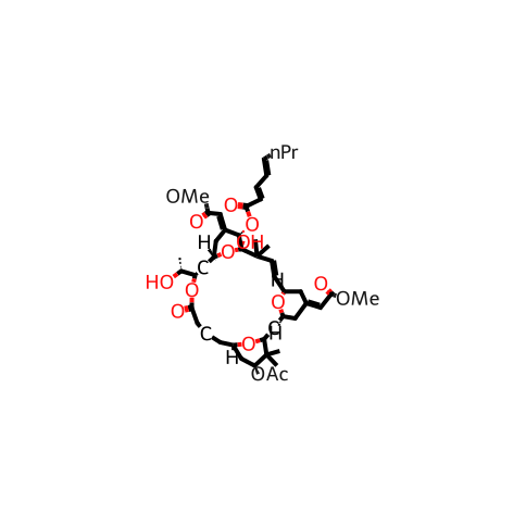 CCC/C=C/C=C/C(=O)O[C@H]1/C(=C/C(=O)OC)C[C@H]2C[C@H]([C@@H](C)O)OC(=O)CCC[C@@H]3C[C@H](OC(C)=O)C(C)(C)C(C[C@@H]4C/C(=C/C(=O)OC)C[C@H](/C=C/C(C)(C)[C@]1(O)O2)O4)O3